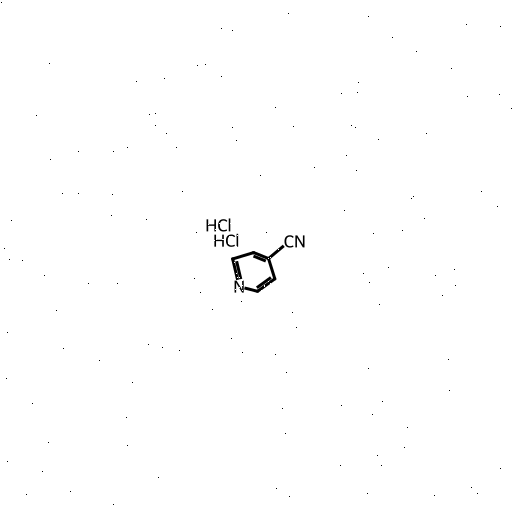 Cl.Cl.N#Cc1ccncc1